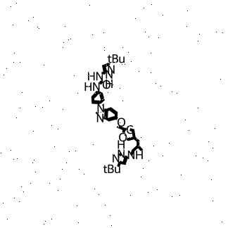 CC(CNc1cc(C(C)(C)C)n[nH]1)CC1CCC(COc2ccc3c(c2)ncn3-c2ccc(NC(=O)Nc3cc(C(C)(C)C)n[nH]3)cc2)OC1